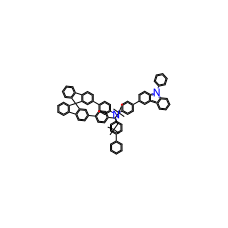 CC(C)(C)CC(c1ccc(-c2ccc3c(c2)C2(c4ccccc4-3)c3ccccc3-c3ccc(-c4ccc(N(c5ccc(-c6ccccc6)cc5)c5ccc(-c6ccc7c(c6)c6ccccc6n7-c6ccccc6)cc5)cc4)cc32)cc1)C(C)(C)C